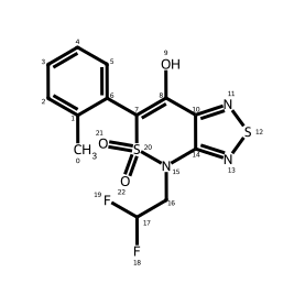 Cc1ccccc1C1=C(O)c2nsnc2N(CC(F)F)S1(=O)=O